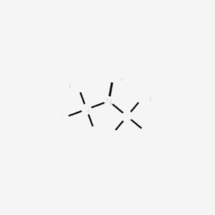 CCCCN([Si](C)(C)C)[Si](C)(C)C